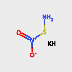 NS[N+](=O)[O-].[KH]